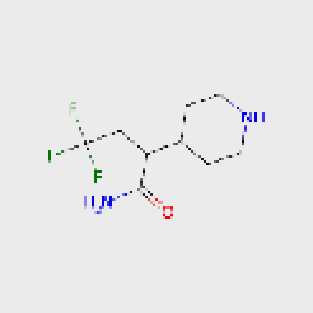 NC(=O)C(CC(F)(F)F)C1CCNCC1